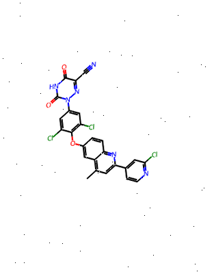 Cc1cc(-c2ccnc(Cl)c2)nc2ccc(Oc3c(Cl)cc(-n4nc(C#N)c(=O)[nH]c4=O)cc3Cl)cc12